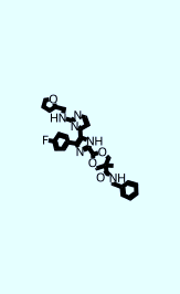 CC1(C(=O)NCc2ccccc2)COC(c2nc(-c3ccc(F)cc3)c(-c3ccnc(NCC4CCCO4)n3)[nH]2)OC1